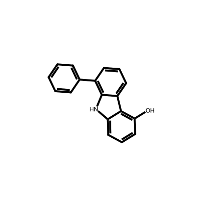 Oc1cccc2[nH]c3c(-c4ccccc4)cccc3c12